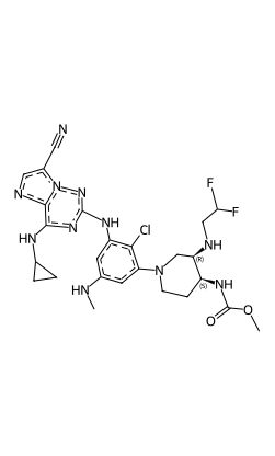 CNc1cc(Nc2nc(NC3CC3)c3ncc(C#N)n3n2)c(Cl)c(N2CC[C@H](NC(=O)OC)[C@H](NCC(F)F)C2)c1